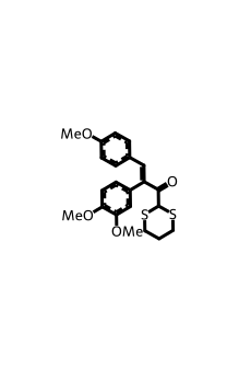 COc1ccc(C=C(C(=O)C2SCCCS2)c2ccc(OC)c(OC)c2)cc1